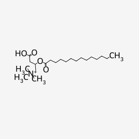 CCCCCCCCCCCCCC(=O)OC(CC(=O)O)C[N+](C)(C)C